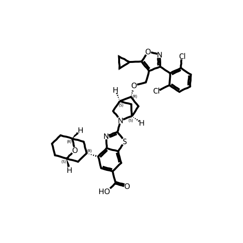 O=C(O)c1cc([C@H]2C[C@H]3CCC[C@@H](C2)O3)c2nc(N3C[C@@H]4C[C@H]3C[C@H]4OCc3c(-c4c(Cl)cccc4Cl)noc3C3CC3)sc2c1